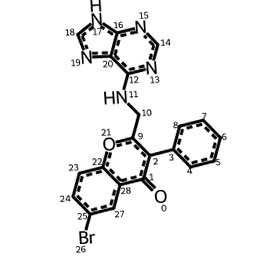 O=c1c(-c2ccccc2)c(CNc2ncnc3[nH]cnc23)oc2ccc(Br)cc12